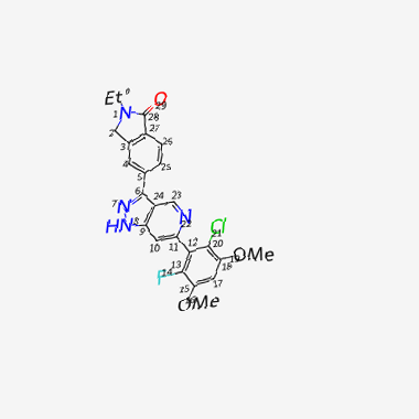 CCN1Cc2cc(-c3n[nH]c4cc(-c5c(F)c(OC)cc(OC)c5Cl)ncc34)ccc2C1=O